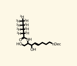 [2H]C([2H])([2H])C([2H])([2H])C([2H])([2H])C([2H])([2H])C(=O)NC(CO)C(O)/C=C/CCCCCCCCCCCCC